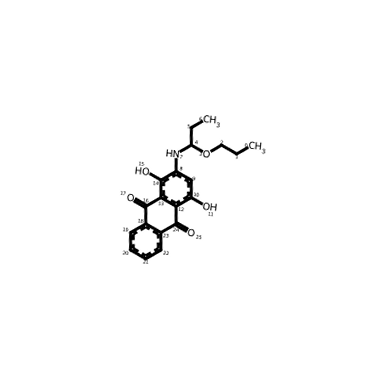 CCCOC(CC)Nc1cc(O)c2c(c1O)C(=O)c1ccccc1C2=O